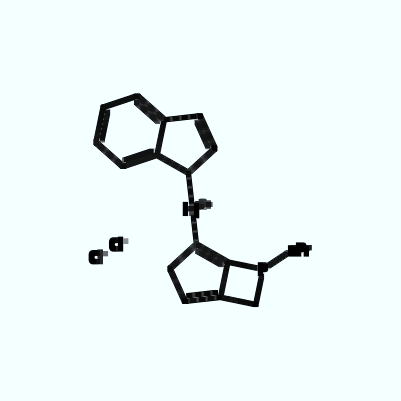 CCCP1CC2=CC[C]([Hf+2][CH]3C=Cc4ccccc43)=C21.[Cl-].[Cl-]